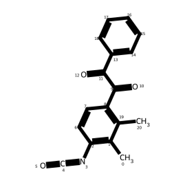 Cc1c(N=C=O)ccc(C(=O)C(=O)c2ccccc2)c1C